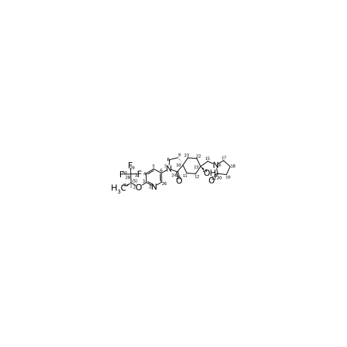 C[C@H](Oc1ccc(N2CC[C@]3(CC[C@@](O)(CN4CCCC4=O)CC3)C2=O)cn1)C(F)(F)F